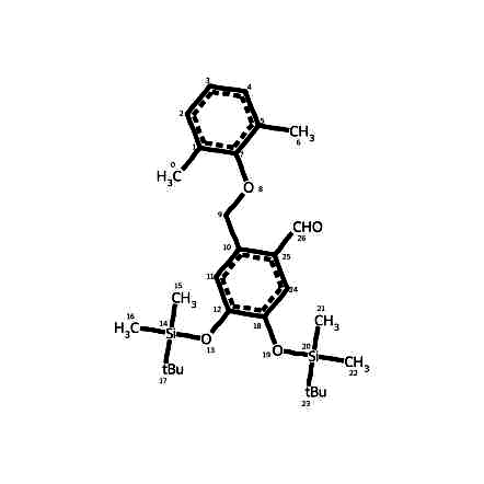 Cc1cccc(C)c1OCc1cc(O[Si](C)(C)C(C)(C)C)c(O[Si](C)(C)C(C)(C)C)cc1C=O